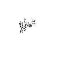 Cc1nc2ccc(-n3c([C@H]4C[C@@H](n5cc(-c6cc(F)c(F)c(F)c6)nn5)[C@@H](O)[C@@H](CO)O4)nnc3C(F)(F)F)cc2s1